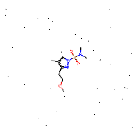 COCCc1nn(S(=O)(=O)N(C)C)cc1C